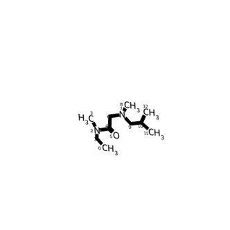 CCN(C)C(=O)CN(C)CC(C)C